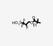 CCC(C)(C)C(=O)OCC(F)C(F)(F)S(=O)(=O)O